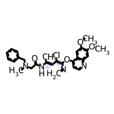 C=N/C(Oc1ccnc2cc(OC)c(OC)cc12)=C(Cl)\C=C(/C)NC(=O)CN(C)Cc1ccccc1